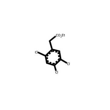 CCOC(=O)Cc1cc(Cl)c(Cl)cc1Cl